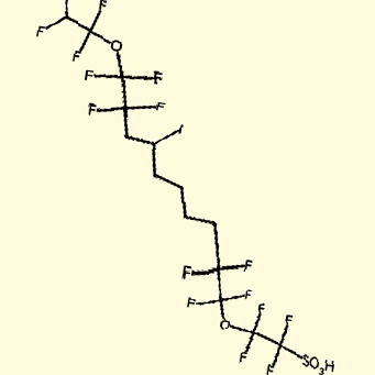 O=S(=O)(O)C(F)(F)C(F)(F)OC(F)(F)C(F)(F)CCCCC(I)CC(F)(F)C(F)(F)OC(F)(F)C(F)F